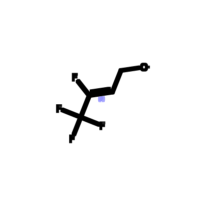 [O]C/C=C(\F)C(F)(F)F